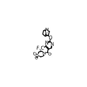 O=C(c1cnc(OC2CN3CCC2CC3)nc1C(F)(F)F)N1CCS(=O)(=O)CC1